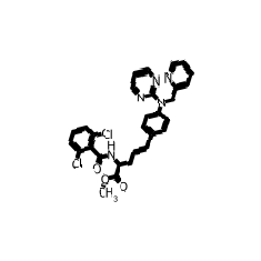 COC(=O)C(C/C=C/c1ccc(N(Cc2ccccn2)c2ncccn2)cc1)NC(=O)c1c(Cl)cccc1Cl